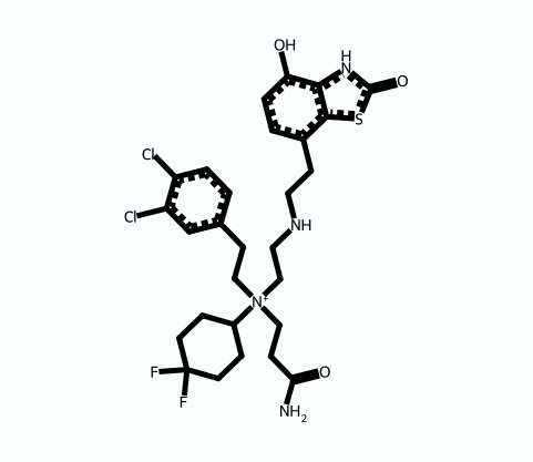 NC(=O)CC[N+](CCNCCc1ccc(O)c2[nH]c(=O)sc12)(CCc1ccc(Cl)c(Cl)c1)C1CCC(F)(F)CC1